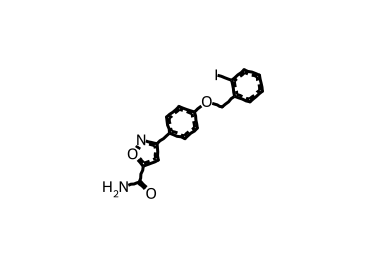 NC(=O)c1cc(-c2ccc(OCc3ccccc3I)cc2)no1